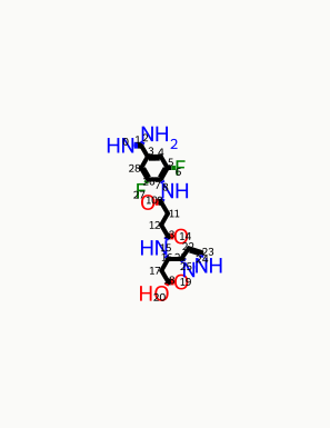 N=C(N)c1cc(F)c(NC(=O)CCC(=O)NC(CC(=O)O)c2cc[nH]n2)c(F)c1